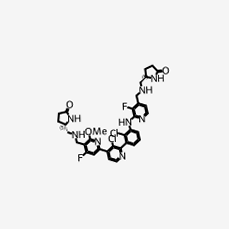 COc1nc(-c2ccnc(-c3cccc(Nc4nccc(CNC[C@H]5CCC(=O)N5)c4F)c3Cl)c2Cl)cc(F)c1CNC[C@@H]1CCC(=O)N1